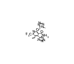 C=Cc1c(C(F)(F)F)nc(OCc2nnnn2C)c(C(N)=O)c1-c1nnnn1C